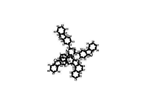 c1ccc2cc3c(cc2c1)c1c2ccccc2ccc1n3-c1cc2oc3ccccc3c2cc1-c1nc(-c2ccc3c(c2)oc2ccccc23)nc(-c2ccc3c(c2)sc2ccccc23)n1